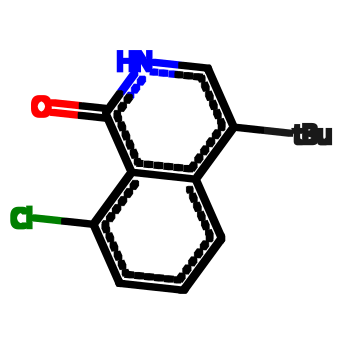 CC(C)(C)c1c[nH]c(=O)c2c(Cl)cccc12